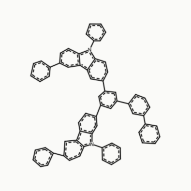 c1ccc(-c2cccc(-c3cc(-c4ccc5c(c4)c4cc(-c6ccccc6)ccc4n5-c4ccccc4)cc(-c4ccc5c6cc(-c7ccccc7)ccc6n(-c6ccccc6)c5c4)c3)c2)cc1